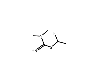 CC(F)SC(=N)N(C)C